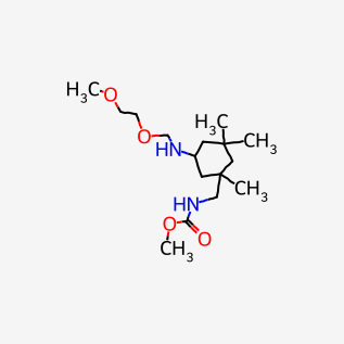 COCCOCNC1CC(C)(C)CC(C)(CNC(=O)OC)C1